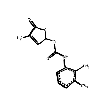 CC1=CC(OC(=O)Nc2cccc(C)c2C)OC1=O